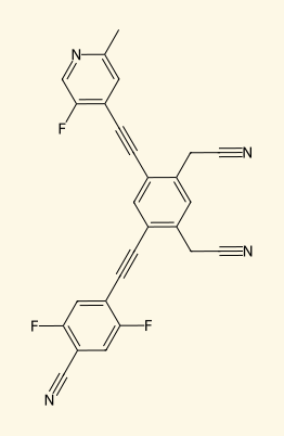 Cc1cc(C#Cc2cc(C#Cc3cc(F)c(C#N)cc3F)c(CC#N)cc2CC#N)c(F)cn1